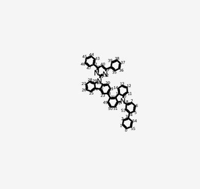 c1ccc(-c2cccc(-n3c4ccccc4c4c(-c5ccc6c(c5)c5ccccc5n6-c5nc(-c6ccccc6)cc(-c6ccccc6)n5)cccc43)c2)cc1